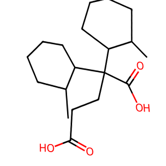 CC1CCCCC1C(CCC(=O)O)(C(=O)O)C1CCCCC1C